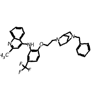 Cc1cc(Nc2cc(C(F)(F)F)ccc2OCCN2CC3CC2CN3Cc2ccccc2)c2ccccc2n1